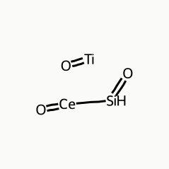 O=[SiH][Ce]=[O].[O]=[Ti]